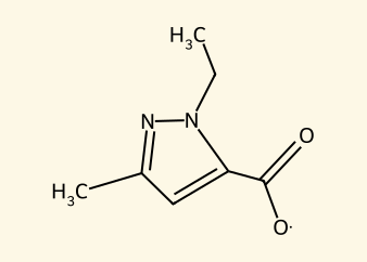 CCn1nc(C)cc1C([O])=O